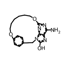 Nc1nc2nc3c1nc(O)n3Cc1ccc(cc1)OCCCCCCO2